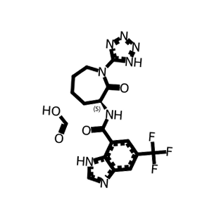 O=C(N[C@H]1CCCCN(c2nnn[nH]2)C1=O)c1cc(C(F)(F)F)cc2nc[nH]c12.O=CO